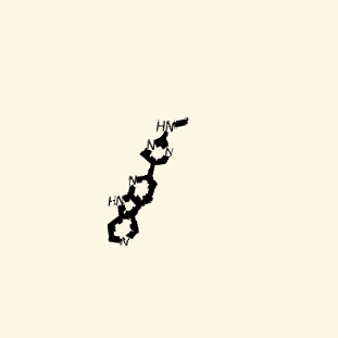 CNc1ncc(-c2ccc3c(n2)[nH]c2ccncc23)cn1